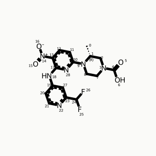 C[C@@H]1CN(C(=O)O)CCN1c1ccc([N+](=O)[O-])c(Nc2ccnc(C(F)F)c2)n1